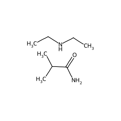 CC(C)C(N)=O.CCNCC